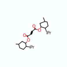 CC1CCC(C(C)C)C(OC(=O)C#CC(=O)OC2CC(C)CCC2C(C)C)C1